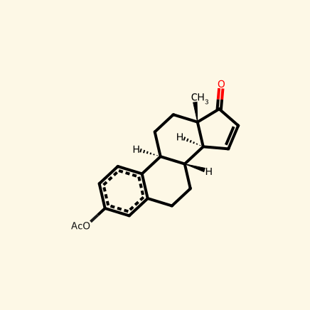 CC(=O)Oc1ccc2c(c1)CC[C@@H]1[C@@H]2CC[C@]2(C)C(=O)C=C[C@@H]12